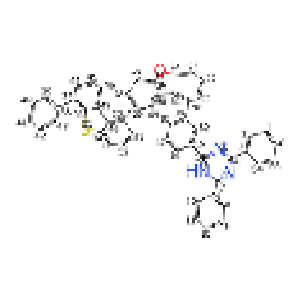 c1ccc(C2=NC(c3ccccc3)NC(c3cccc(-c4cccc5oc6ccc(-c7cccc8sc9c(-c%10ccccc%10)cccc9c78)cc6c45)c3)=N2)cc1